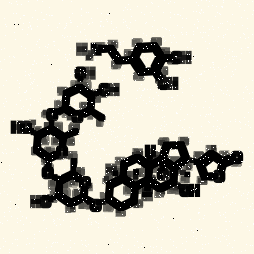 C[C@H]1O[C@@H](O[C@H]2[C@@H](O)C[C@H](O[C@H]3[C@@H](O)C[C@H](O[C@H]4CC[C@@]5(C)[C@H](CC[C@@H]6[C@@H]5C[C@@H](O)[C@]5(C)[C@@H](C7=CC(=O)OC7)CC[C@]65O)C4)O[C@@H]3C)O[C@@H]2C)C[C@H](O)[C@@H]1O.NCCc1ccc(O)c(O)c1